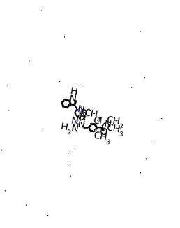 CO/N=C(\CC(=O)/N=C(/N)NCc1cc(C)c(C(=O)CN(C)C)c(Cl)c1)c1c[nH]c2ccccc12